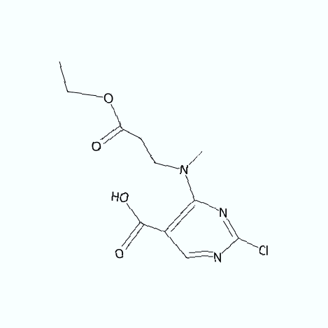 CCOC(=O)CCN(C)c1nc(Cl)ncc1C(=O)O